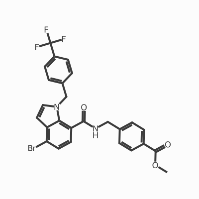 COC(=O)c1ccc(CNC(=O)c2ccc(Br)c3ccn(Cc4ccc(C(F)(F)F)cc4)c23)cc1